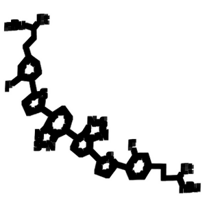 CCCCC(CC)CCc1ccc(-c2ccc(-c3ccc(-c4ccc(-c5ccc(-c6ccc(CCC(CC)CCCC)cc6F)s5)c5nsnc45)c4nsnc34)s2)c(F)c1